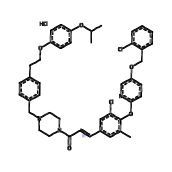 Cc1cc(/C=C/C(=O)N2CCN(Cc3ccc(CCOc4ccc(OC(C)C)cc4)cc3)CC2)cc(Cl)c1Oc1ccc(OCc2ccccc2Cl)cn1.Cl